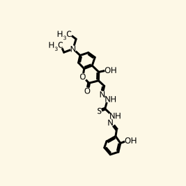 CCN(CC)c1ccc2c(O)c(C=NNC(=S)NN=Cc3ccccc3O)c(=O)oc2c1